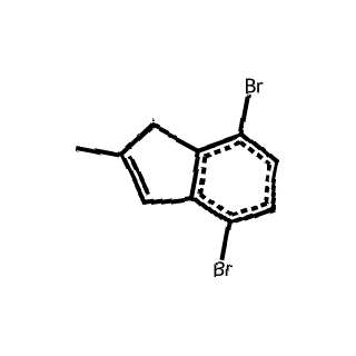 CC1=Cc2c(Br)ccc(Br)c2[CH]1